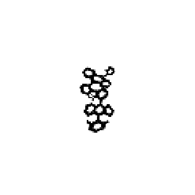 Cc1cccc(C)c1-c1c2ccccc2c(-c2cccc3c2sc2cccc(-c4c5ccccc5c(-c5ccccc5)c5ccccc45)c23)c2ccccc12